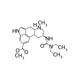 CCN(CC)C(=O)N[C@H]1CC2c3cc(C(=O)OC)cc4[nH]cc(c34)C[C@H]2N(C)C1